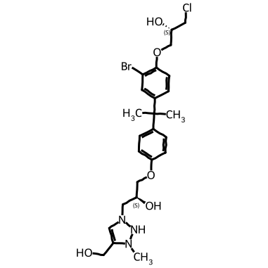 CN1NN(C[C@H](O)COc2ccc(C(C)(C)c3ccc(OC[C@H](O)CCl)c(Br)c3)cc2)C=C1CO